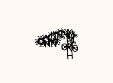 O=C1NC(=O)C(=Cc2ccnc(N3CCC(CNCc4cc5ccccc5nc4-c4ccc[nH]4)CC3)n2)S1